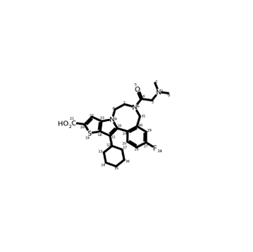 CN(C)CC(=O)N1CCn2c(c(C3CCCCC3)c3sc(C(=O)O)cc32)-c2ccc(F)cc2C1